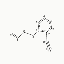 C=CCCc1ccccc1C#N